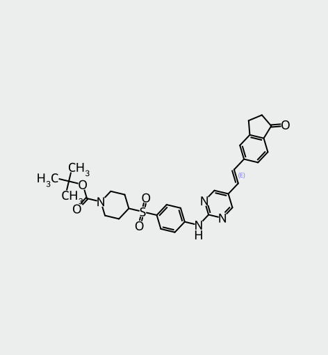 CC(C)(C)OC(=O)N1CCC(S(=O)(=O)c2ccc(Nc3ncc(/C=C/c4ccc5c(c4)CCC5=O)cn3)cc2)CC1